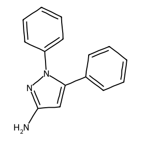 Nc1cc(-c2ccccc2)n(-c2ccccc2)n1